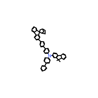 CC1(C)c2cc(N(c3ccc(-c4ccccc4)cc3)c3ccc(-c4ccc(-c5ccc6c(c5)C5(CC7CCC5C7)c5ccccc5-6)cc4)cc3)ccc2C2C=CC=CC21